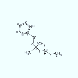 CCNCC(C)(C)SSc1ccccn1